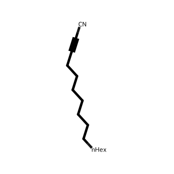 CCCCCCCCCCCCCC#CC#N